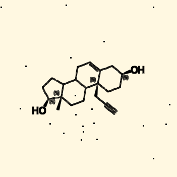 C#CC[C@]12CC[C@H](O)CC1=CCC1C2CC[C@@]2(C)C1CC[C@@H]2O